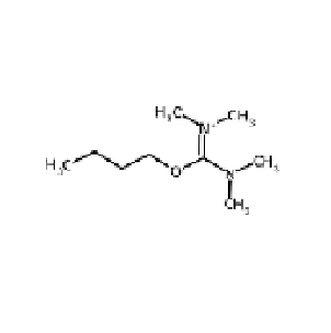 CCCCOC(N(C)C)=[N+](C)C